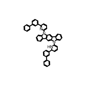 C1=CC(c2cccc(-c3ccccc3)c2)NC(n2c3ccccc3c3cc4c(cc32)c2ccccc2n4-c2cccc(-c3cccc(-c4ccccc4)c3)n2)=C1